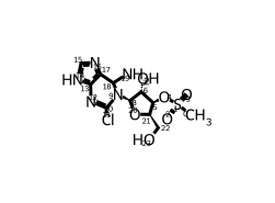 CS(=O)(=O)O[C@@H]1[C@@H](O)[C@H](N2C(Cl)=Nc3[nH]cnc3C2N)O[C@@H]1CO